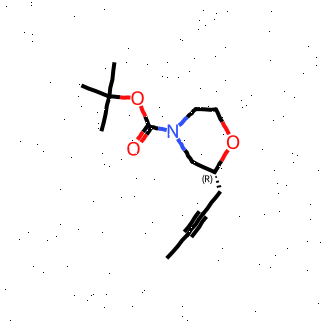 CC#CC[C@@H]1CN(C(=O)OC(C)(C)C)CCO1